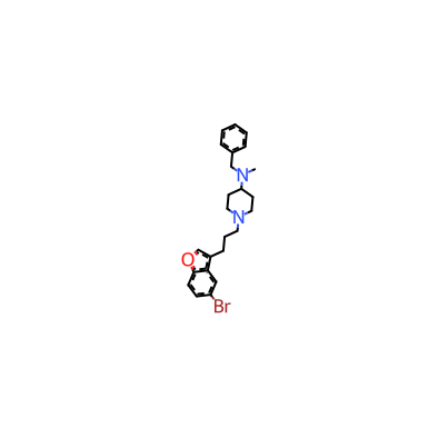 CN(Cc1ccccc1)C1CCN(CCCc2coc3ccc(Br)cc23)CC1